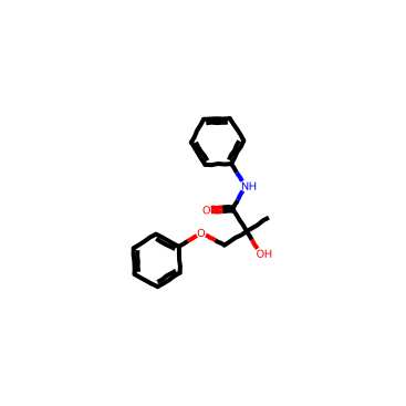 CC(O)(COc1ccccc1)C(=O)Nc1ccccc1